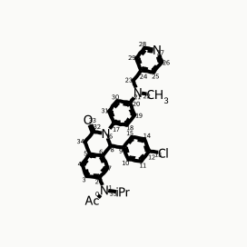 CC(=O)N(c1ccc2c(c1)C(c1ccc(Cl)cc1)N(c1ccc(N(C)Cc3ccncc3)cc1)C(=O)C2)C(C)C